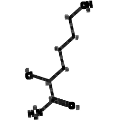 NC(=O)C(Cl)CCCCO